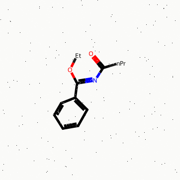 CCCC(=O)N=C(OCC)c1ccccc1